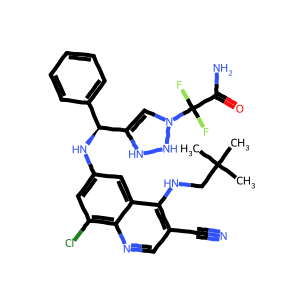 CC(C)(C)CNc1c(C#N)cnc2c(Cl)cc(N[C@H](C3=CN(C(F)(F)C(N)=O)NN3)c3ccccc3)cc12